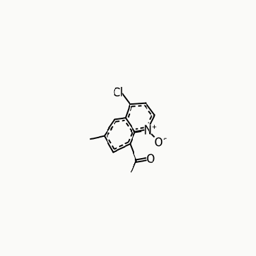 CC(=O)c1cc(C)cc2c(Cl)cc[n+]([O-])c12